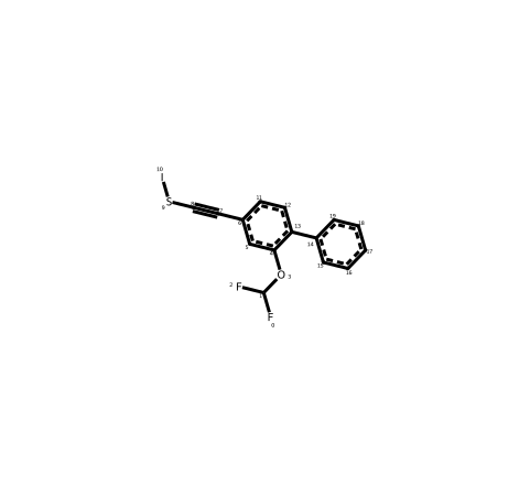 FC(F)Oc1cc(C#CSI)ccc1-c1ccccc1